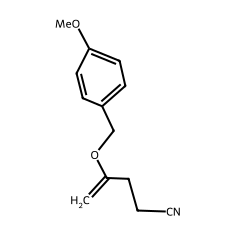 C=C(CCC#N)OCc1ccc(OC)cc1